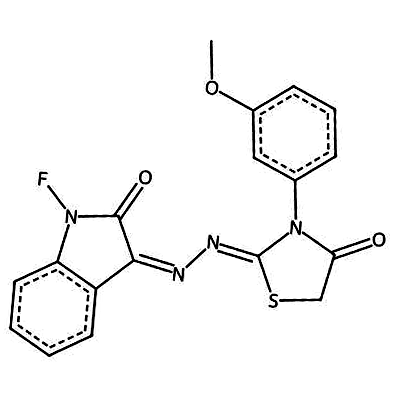 COc1cccc(N2C(=O)CSC2=NN=C2C(=O)N(F)c3ccccc32)c1